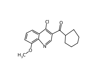 COc1cccc2c(Cl)c(C(=O)C3CCCCC3)cnc12